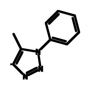 Cc1[c]nnn1-c1ccccc1